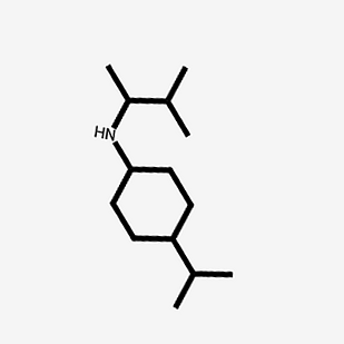 CC(C)C1CCC(NC(C)C(C)C)CC1